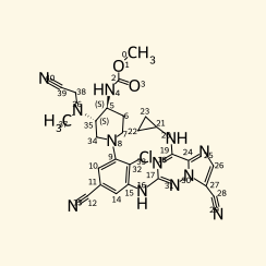 COC(=O)N[C@H]1CCN(c2cc(C#N)cc(Nc3nc(NC4CC4)c4ncc(C#N)n4n3)c2Cl)C[C@@H]1N(C)CC#N